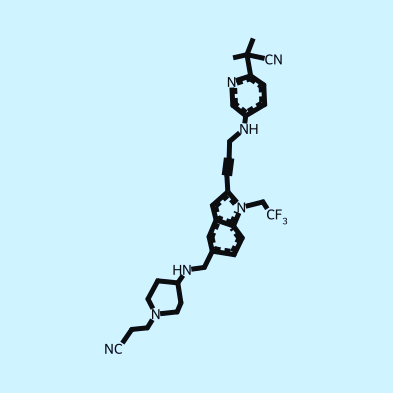 CC(C)(C#N)c1ccc(NCC#Cc2cc3cc(CNC4CCN(CCC#N)CC4)ccc3n2CC(F)(F)F)cn1